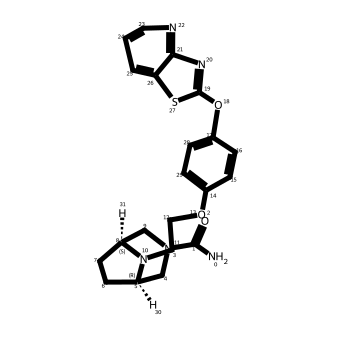 NC(=O)N1C[C@H]2CC[C@@H](C1)N2CCOc1ccc(Oc2nc3ncccc3s2)cc1